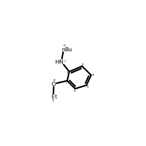 CCCCNc1ccccc1OCC